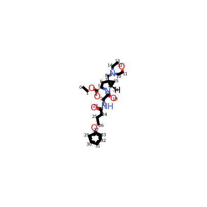 CCOC(=O)[C@@H]1C[C@]2(CN3CCOCC3)C[C@@H]2N1C(=O)CNC(=O)CCCOc1ccccc1